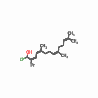 CC(C)=CCCC(C)=CCCC(C)=CC=C(C(C)C)C(O)Cl